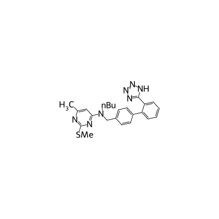 CCCCN(Cc1ccc(-c2ccccc2-c2nnn[nH]2)cc1)c1cc(C)nc(SC)n1